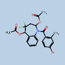 CC(=O)OC1CC(F)(F)C(OC(C)=O)c2ccccc2N1C(=O)c1ccc(Br)cc1C